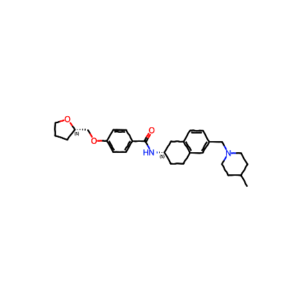 CC1CCN(Cc2ccc3c(c2)CC[C@H](NC(=O)c2ccc(OC[C@@H]4CCCO4)cc2)C3)CC1